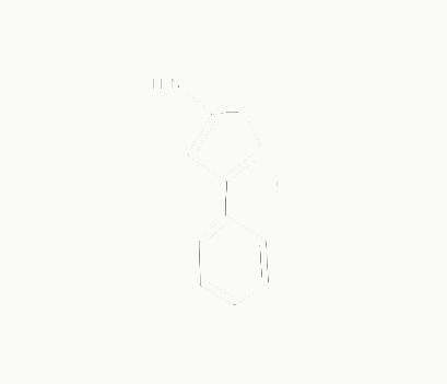 Nc1cc(-c2ccccc2)[s+]s1.[Cl-]